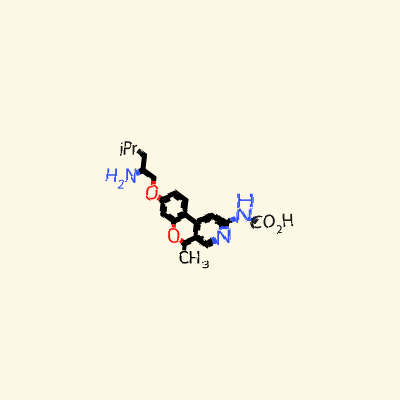 CC(C)CC(N)COc1ccc2c(c1)OC(C)c1cnc(NC(=O)O)cc1-2